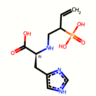 C=CC(CN[C@@H](Cc1c[nH]cn1)C(=O)O)P(=O)(O)O